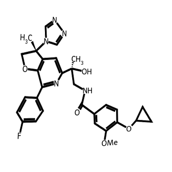 COc1cc(C(=O)NC[C@](C)(O)c2cc3c(c(-c4ccc(F)cc4)n2)OC[C@]3(C)n2cnnc2)ccc1OC1CC1